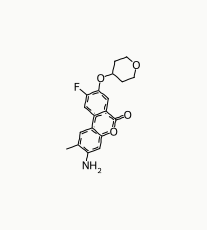 Cc1cc2c(cc1N)oc(=O)c1cc(OC3CCOCC3)c(F)cc12